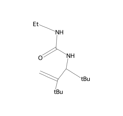 C=C(C(NC(=O)NCC)C(C)(C)C)C(C)(C)C